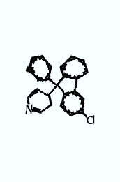 Clc1ccc2c(c1)-c1ccccc1C2(c1ccccc1)C1C=CN=CC1